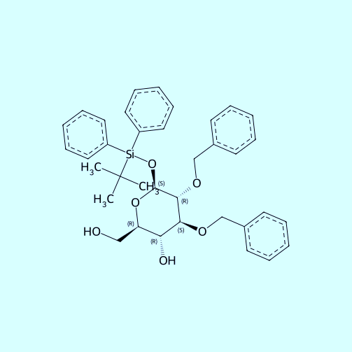 CC(C)(C)[Si](O[C@@H]1O[C@H](CO)[C@@H](O)[C@H](OCc2ccccc2)[C@H]1OCc1ccccc1)(c1ccccc1)c1ccccc1